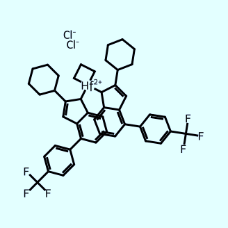 FC(F)(F)c1ccc(-c2cccc3c2C=C(C2CCCCC2)[CH]3[Hf+2]2([CH]3C(C4CCCCC4)=Cc4c(-c5ccc(C(F)(F)F)cc5)cccc43)[CH2]C[CH2]2)cc1.[Cl-].[Cl-]